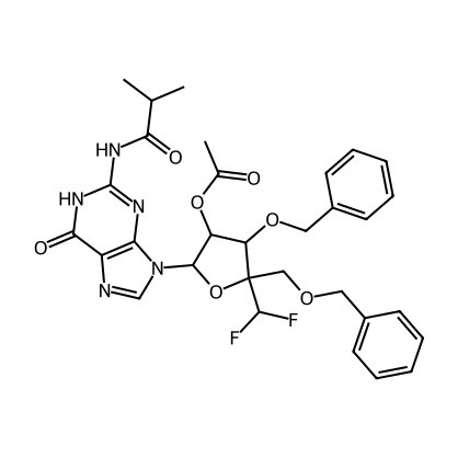 CC(=O)OC1C(n2cnc3c(=O)[nH]c(NC(=O)C(C)C)nc32)OC(COCc2ccccc2)(C(F)F)C1OCc1ccccc1